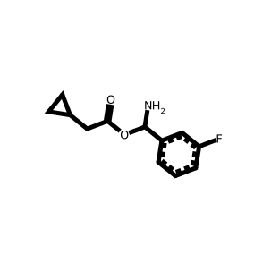 NC(OC(=O)CC1CC1)c1cccc(F)c1